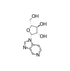 OC[C@H]1O[C@@H](n2cnc3cnccc32)[C@@H](O)[C@@H]1O